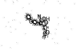 CC(C)(C)OC(=O)N1CC[C@@H](c2cn(-c3ccc(Oc4ccccc4)cc3)c(C#N)c2C(=O)O)C1